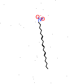 CCCCCC=CCC=CCC=CCCCCC[N+](=O)[O-]